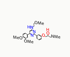 CNCC(O)COc1cccc(-c2nc(NCCOC)cc(-c3ccc(OC)c(OC)c3)n2)c1